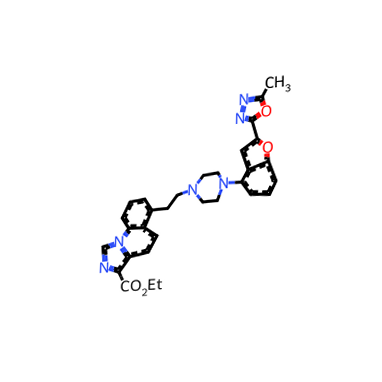 CCOC(=O)c1ncn2c1ccc1c(CCN3CCN(c4cccc5oc(-c6nnc(C)o6)cc45)CC3)cccc12